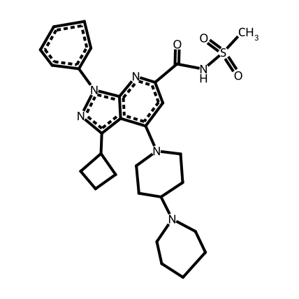 CS(=O)(=O)NC(=O)c1cc(N2CCC(N3CCCCC3)CC2)c2c(C3CCC3)nn(-c3ccccc3)c2n1